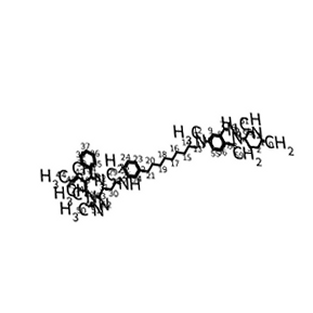 C=C1CCC(N2N=Cc3cc(N(C)CCCCCCCCCc4cccc(NC(=C)CC5N=C(c6ccccc6)C(C(C)=C(C)C)=C(C)n6c(C)nnc65)c4)ccc3C2=C)C(=C)N1